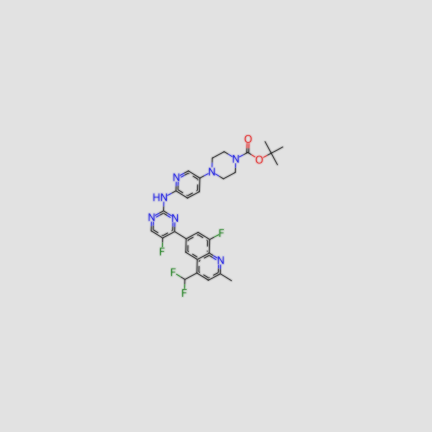 Cc1cc(C(F)F)c2cc(-c3nc(Nc4ccc(N5CCN(C(=O)OC(C)(C)C)CC5)cn4)ncc3F)cc(F)c2n1